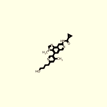 Cc1cc(CCCCO)ncc1-c1cc2cnc(NC(=O)C3CC3)cc2c2ncn(C)c12